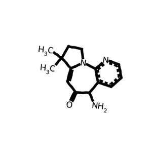 CC1(C)CCN2C1=CC(=O)C(N)c1cccnc12